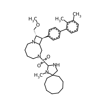 COC[C@@H]1[C@@H](c2ccc(-c3cccc(C)c3C)cc2)C2CN(S(=O)(=O)C3NCC4(CCCCCCCC4)N3C)CCCCN21